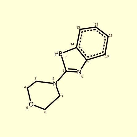 B1C(N2CCOCC2)=Nc2ccccc21